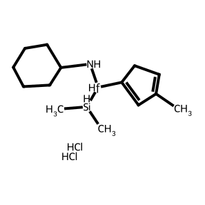 CC1=CC[C]([Hf]([NH]C2CCCCC2)[SiH](C)C)=C1.Cl.Cl